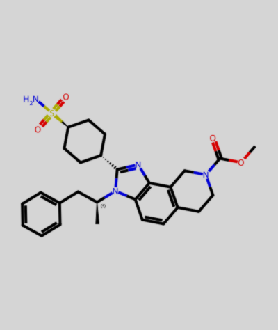 COC(=O)N1CCc2ccc3c(nc([C@H]4CC[C@H](S(N)(=O)=O)CC4)n3[C@@H](C)Cc3ccccc3)c2C1